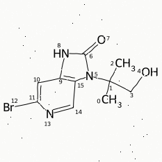 CC(C)(CO)n1c(=O)[nH]c2cc(Br)ncc21